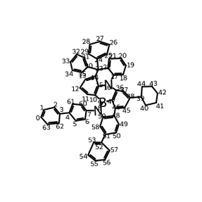 c1ccc(-c2ccc(N3B4c5cccc6c5N(c5ccccc5C6(c5ccccc5)c5ccccc5)c5cc(C6CCCCC6)cc(c54)-c4ccc(-c5ccccc5)cc43)cc2)cc1